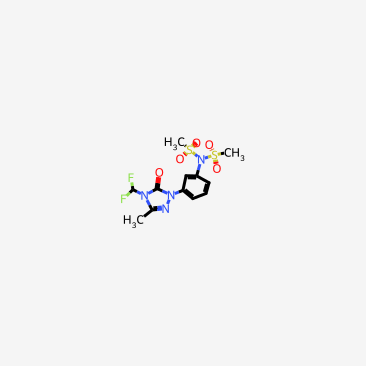 Cc1nn(-c2cccc(N(S(C)(=O)=O)S(C)(=O)=O)c2)c(=O)n1C(F)F